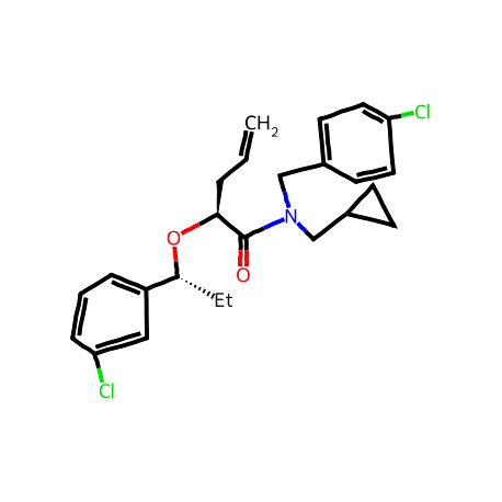 C=CC[C@H](O[C@H](CC)c1cccc(Cl)c1)C(=O)N(Cc1ccc(Cl)cc1)CC1CC1